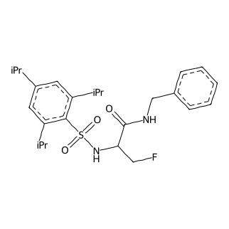 CC(C)c1cc(C(C)C)c(S(=O)(=O)NC(CF)C(=O)NCc2ccccc2)c(C(C)C)c1